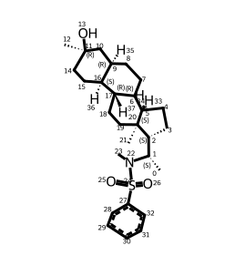 C[C@@H]([C@H]1CC[C@H]2[C@@H]3CC[C@@H]4C[C@](C)(O)CC[C@@H]4[C@H]3CC[C@]12C)N(C)S(=O)(=O)c1ccccc1